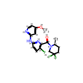 CC[C@H]1CCC(F)(F)CN1C(=O)c1nc(Nc2cc(OC(F)(F)F)ccn2)ccc1F